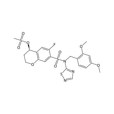 COc1ccc(CN(c2ncns2)S(=O)(=O)c2cc3c(cc2F)[C@H](OS(C)(=O)=O)CCO3)c(OC)c1